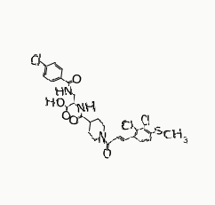 CSc1ccc(C=CC(=O)N2CCC(C(=O)NC(CNC(=O)c3ccc(Cl)cc3)C(=O)O)CC2)c(Cl)c1Cl